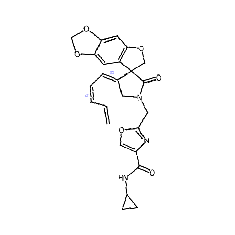 C=C/C=C\C=C1/CN(Cc2nc(C(=O)NC3CC3)co2)C(=O)C12COc1cc3c(cc12)OCO3